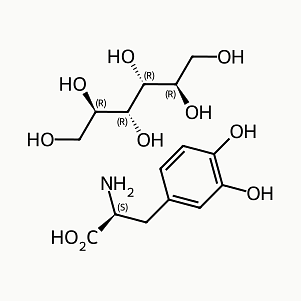 N[C@@H](Cc1ccc(O)c(O)c1)C(=O)O.OC[C@@H](O)[C@@H](O)[C@H](O)[C@H](O)CO